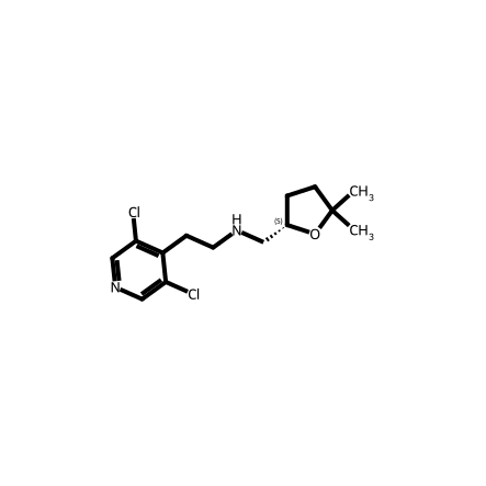 CC1(C)CC[C@@H](CNCCc2c(Cl)cncc2Cl)O1